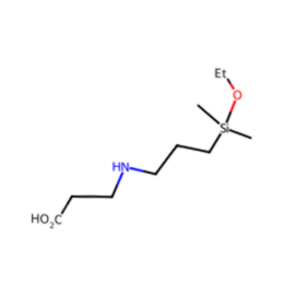 CCO[Si](C)(C)CCCNCCC(=O)O